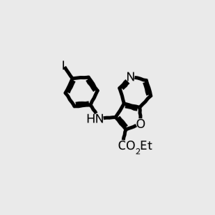 CCOC(=O)c1oc2ccncc2c1Nc1ccc(I)cc1